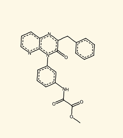 COC(=O)C(=O)Nc1cccc(-n2c(=O)c(Cc3ccccc3)nc3cccnc32)c1